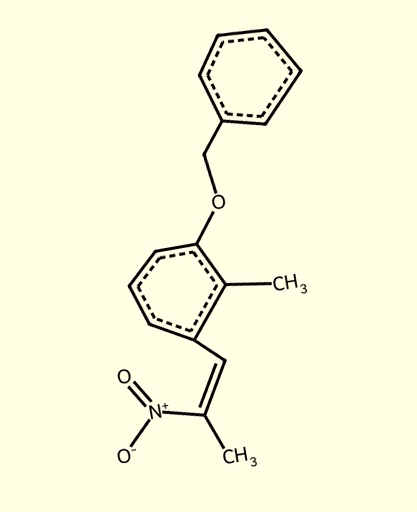 C/C(=C/c1cccc(OCc2ccccc2)c1C)[N+](=O)[O-]